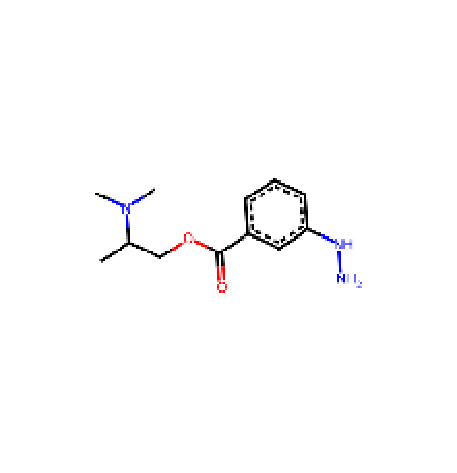 CC(COC(=O)c1cccc(NN)c1)N(C)C